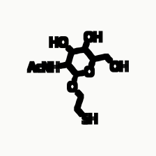 CC(=O)NC1C(O)C(O)C(CO)O[C@H]1OCCS